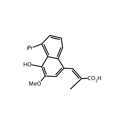 COc1cc(/C=C(\C)C(=O)O)c2cccc(C(C)C)c2c1O